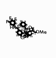 COCC1CON(Cc2ccccc2)[C@]12CC1CCC2[C@@H]1S(=O)(=O)c1cc(C(=O)Nc2cc(F)c(F)c(F)c2)ccc1Cl